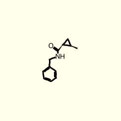 C[C@@H]1C[C@@H]1C(=O)NCc1ccccc1